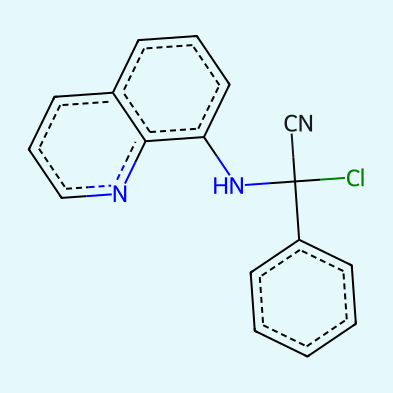 N#CC(Cl)(Nc1cccc2cccnc12)c1ccccc1